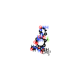 CCn1c(-c2cc(N3CCN4CCOC[C@@H]4C3)cnc2[C@H](C)OC)c2c3cc(ccc31)-c1cc(cc(C(F)F)c1)C[C@H](NC(=O)[C@H](C1CCCC1)N1CC[C@]3(CCN(C(=O)[C@@H]4N[C@@H]4C4CC4)C3)C1)C(=O)N1CCC[C@H](N1)C(=O)OCC(C)(C)C2